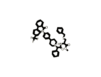 COC(=O)C(CSCc1ccccc1)NC(=O)C(c1ccccc1)N1CCC(c2ccc(NC(=O)c3ccccc3-c3ccc(C(F)(F)F)cc3)cc2)CC1